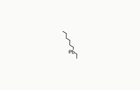 CCCCC[CH2][Pb][CH2]C